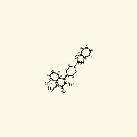 [2H]c1c(N2CCC(c3nc4ccccc4o3)CC2)c2cccc(Cl)c2n(C)c1=O